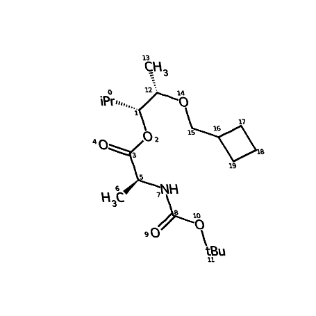 CC(C)[C@@H](OC(=O)[C@H](C)NC(=O)OC(C)(C)C)[C@H](C)OCC1CCC1